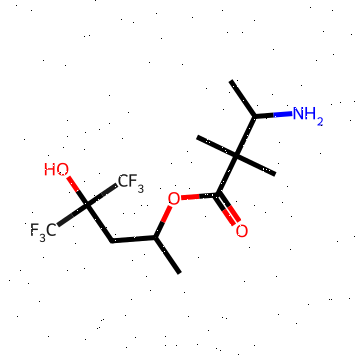 CC(CC(O)(C(F)(F)F)C(F)(F)F)OC(=O)C(C)(C)C(C)N